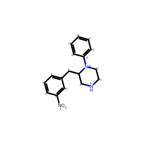 O=[N+]([O-])c1cccc(CC2CNCCN2c2ccccc2)c1